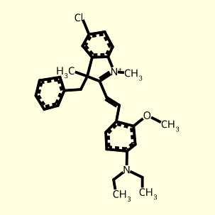 CCN(CC)c1ccc(/C=C/C2=[N+](C)c3ccc(Cl)cc3C2(C)Cc2ccccc2)c(OC)c1